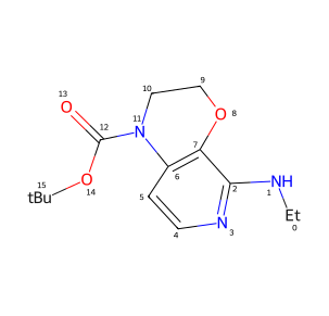 CCNc1nccc2c1OCCN2C(=O)OC(C)(C)C